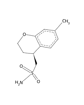 Cc1ccc2c(c1)OCC[C@@H]2CS(N)(=O)=O